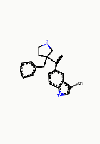 C=C(c1ccc2[nH]cc(C#N)c2c1)C1(Cc2ccccc2)CCNC1